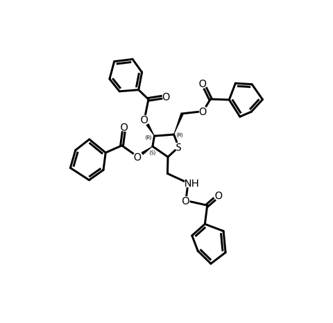 O=C(OC[C@H]1SC(CNOC(=O)c2ccccc2)[C@@H](OC(=O)c2ccccc2)[C@H]1OC(=O)c1ccccc1)c1ccccc1